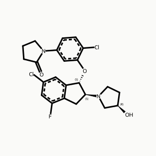 O=C1CCCN1c1ccc(Cl)c(O[C@H]2c3cc(Cl)cc(F)c3C[C@@H]2N2CC[C@@H](O)C2)c1